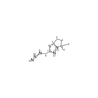 CC1(C)CCc2cc(CN=[N+]=[N-])nn21